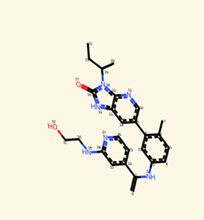 C=C(Nc1ccc(C)c(-c2cnc3c(c2)[nH]c(=O)n3C(C)CC)c1)c1ccnc(NCCO)c1